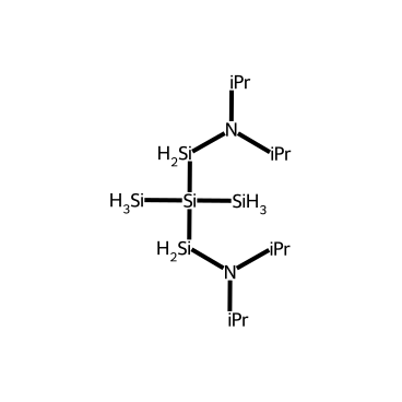 CC(C)N([SiH2][Si]([SiH3])([SiH3])[SiH2]N(C(C)C)C(C)C)C(C)C